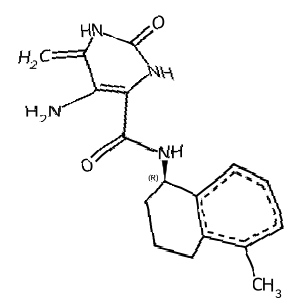 C=C1NC(=O)NC(C(=O)N[C@@H]2CCCc3c(C)cccc32)=C1N